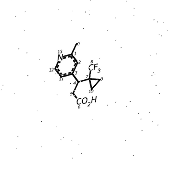 Cc1cc(C(CC(=O)O)C2(C(F)(F)F)CC2)ccn1